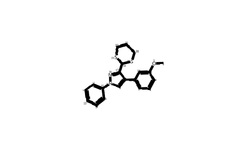 COc1cccc(-c2cn(-c3ccccc3)nc2C2SCCCS2)c1